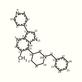 Cc1cnc2c(-c3ccncc3)cnn2c1C1CCCN(Cc2ccccc2)C1